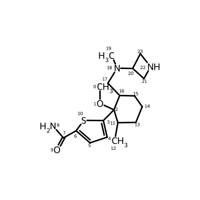 COC1(c2ccc(C(N)=O)s2)C(C)CCCC1CN(C)C1CNC1